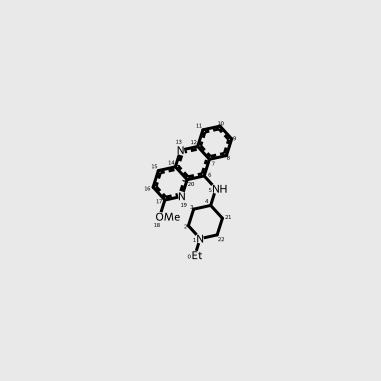 CCN1CCC(Nc2c3ccccc3nc3ccc(OC)nc23)CC1